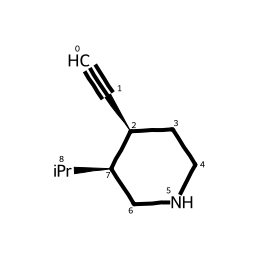 C#C[C@H]1CCNC[C@H]1C(C)C